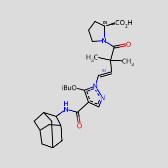 CC(C)COc1c(C(=O)NC2C3CC4CC(C3)CC2C4)cnn1/C=C/C(C)(C)C(=O)N1CCC[C@H]1C(=O)O